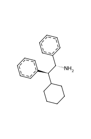 N[C@@H](c1ccccc1)[C@H](c1ccccc1)C1CCCCC1